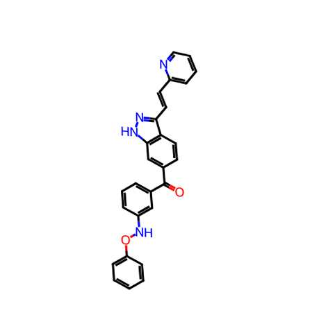 O=C(c1cccc(NOc2ccccc2)c1)c1ccc2c(/C=C/c3ccccn3)n[nH]c2c1